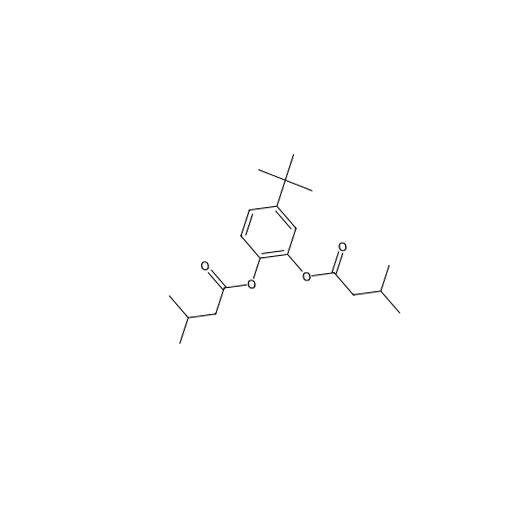 CC(C)CC(=O)Oc1ccc(C(C)(C)C)cc1OC(=O)CC(C)C